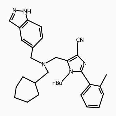 CCCCn1c(-c2ccccc2C)nc(C#N)c1CN(Cc1ccc2[nH]ncc2c1)CC1CCCCC1